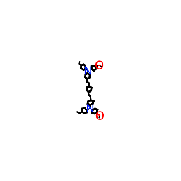 CCc1ccc(N(c2ccc(/C=C/c3ccc(/C=C/c4ccc(N(c5ccc(CC)cc5)c5ccc(OC)cc5)cc4)cc3)cc2)c2ccc(OC)cc2)cc1